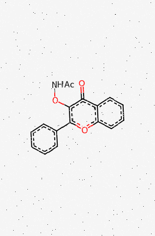 CC(=O)NOc1c(-c2ccccc2)oc2ccccc2c1=O